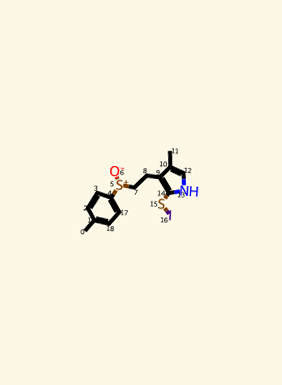 Cc1ccc([S+]([O-])CCc2c(C)c[nH]c2SI)cc1